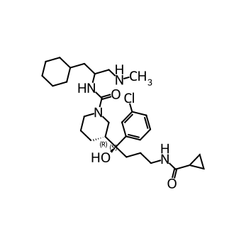 CNCC(CC1CCCCC1)NC(=O)N1CCC[C@@H]([C@@](O)(CCCNC(=O)C2CC2)c2cccc(Cl)c2)C1